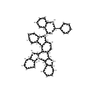 c1ccc(-c2nc(-n3c4ccccc4c4c5c(ccc43)c3sc4ccccc4c3n3c4ccccc4nc53)c3ccccc3n2)cc1